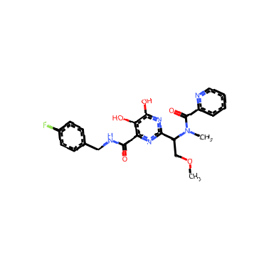 COCC(c1nc(O)c(O)c(C(=O)NCc2ccc(F)cc2)n1)N(C)C(=O)c1ccccn1